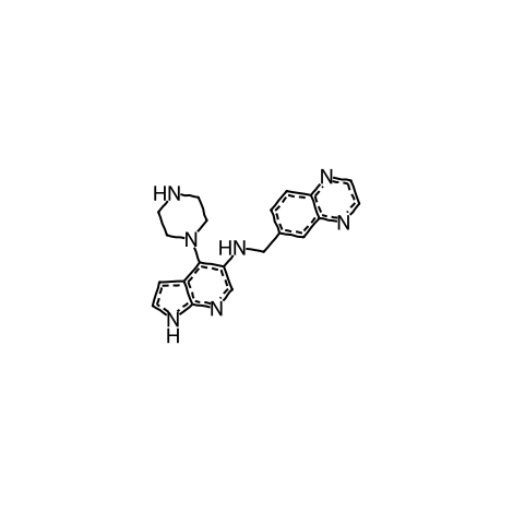 c1cnc2cc(CNc3cnc4[nH]ccc4c3N3CCNCC3)ccc2n1